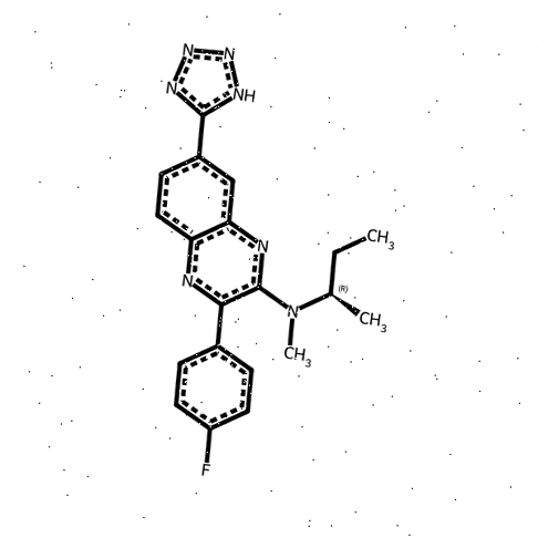 CC[C@@H](C)N(C)c1nc2cc(-c3nnn[nH]3)ccc2nc1-c1ccc(F)cc1